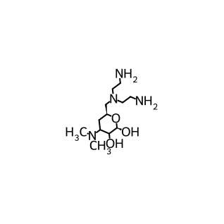 CN(C)C1C[C@@H](CN(CCN)CCN)O[C@@H](O)C1O